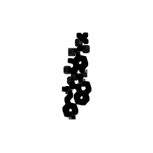 Cc1c(NC(=O)OC(C)(C)C)ccc2nc(N3CCc4ccccc4C3C(=O)N(C)CCc3ccncc3)oc(=O)c12